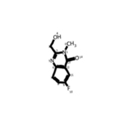 Cn1c(CO)nc2ccc(F)cc2c1=O